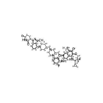 Cn1nc(C2CCC(=O)NC2=O)c2cccc(N3CCC(CN4CCN(c5ncc(F)c(Nc6ccc7c(c6)c6c(c(=O)n7C)OCC(F)(F)C(C7CC7)N6)n5)C(CO)C4)CC3)c21